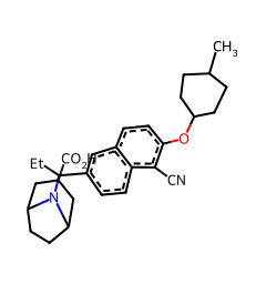 CCC(c1ccc2c(C#N)c(OC3CCC(C)CC3)ccc2c1)N1C2CCC1CC(C(=O)O)C2